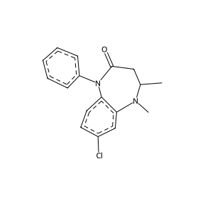 CC1CC(=O)N(c2ccccc2)c2ccc(Cl)cc2N1C